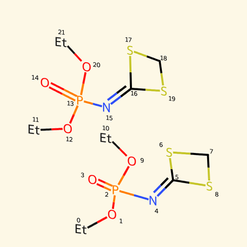 CCOP(=O)(N=C1SCS1)OCC.CCOP(=O)(N=C1SCS1)OCC